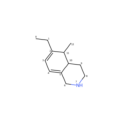 CCC1=CC=C2CNCCC2C1C